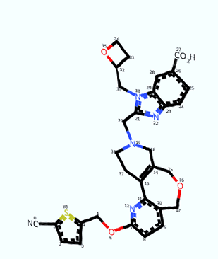 N#Cc1ccc(COc2ccc3c(n2)C2=C(COC3)CN(Cc3nc4ccc(C(=O)O)cc4n3C[C@@H]3CCO3)CC2)s1